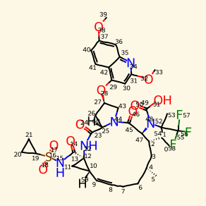 CC[C@@H]1C[C@H](C)CCC=C[C@@H]2C[C@@]2(C(=O)NS(=O)(=O)C2CC2)NC(=O)[C@@H]2C[C@@H](Oc3cc(OC)nc4cc(OC)ccc34)CN2C(=O)[C@H]1N(C(=O)O)C(C)(C)C(F)(F)F